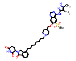 Cc1[nH]nc(Nc2ncnc3cc(OCC4CCN(CCCCCCCCc5cccc6c5CN(C5CCC(=O)NC5=O)C6=O)CC4)c(S(=O)(=O)C(C)(C)C)cc23)c1C